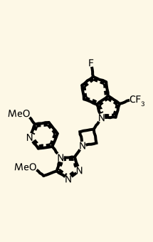 COCc1nnc(N2CC(n3cc(C(F)(F)F)c4cc(F)ccc43)C2)n1-c1ccc(OC)nc1